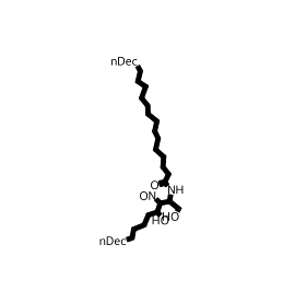 CCCCCCCCCCCCCCCCCCCCCCCC(=O)NC(CO)C(N=O)C(O)CCCCCCCCCCCCCC